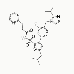 CC(C)Cc1cc(-c2ccc(Cn3ccnc3C(C)C)c(F)c2)c(S(=O)(=O)NC(=O)CCc2ccccn2)s1